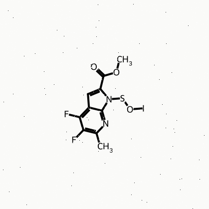 COC(=O)c1cc2c(F)c(F)c(C)nc2n1SOI